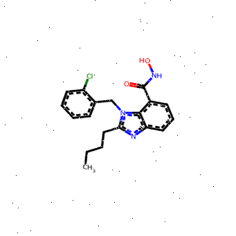 CCCCc1nc2cccc(C(=O)NO)c2n1Cc1ccccc1Cl